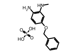 CNc1cc(OCc2ccccc2)ccc1N.O=S(=O)(O)O